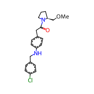 COC[C@@H]1CCCN1C(=O)Cc1ccc(NCc2ccc(Cl)cc2)cc1